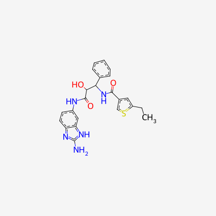 CCc1cc(C(=O)NC(c2ccccc2)C(O)C(=O)Nc2ccc3nc(N)[nH]c3c2)cs1